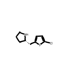 Clc1ccc(C[C@@H]2CCCN2)s1